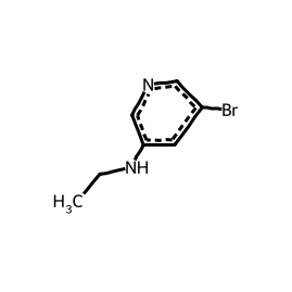 CCNc1cncc(Br)c1